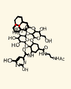 CC(=O)NCCNC(=O)C1CC(NC(=O)c2cc(O)nc(O)n2)C(OC2OC(C)C(O)C(O)C2O)C(OC2OC(CO)C(O)C(O[C@@H](CC3CCCCC3)C(=O)O)C2OC(=O)c2ccccc2)C1